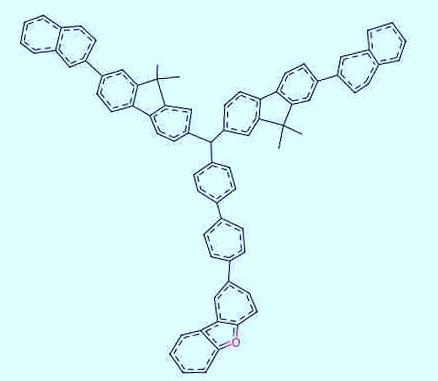 CC1(C)c2cc(-c3ccc4ccccc4c3)ccc2-c2ccc(C(c3ccc(-c4ccc(-c5ccc6oc7ccccc7c6c5)cc4)cc3)c3ccc4c(c3)C(C)(C)c3cc(-c5ccc6ccccc6c5)ccc3-4)cc21